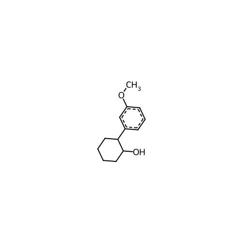 COc1cccc(C2CCCCC2O)c1